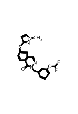 Cn1ccc(Sc2ccc3c(=O)n(Cc4cccc(OC(F)F)c4)ncc3c2)n1